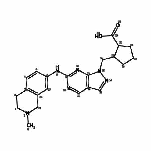 CN1CCc2ccc(Nc3ncc4cnn(CC5CCCC5C(=O)O)c4n3)cc2C1